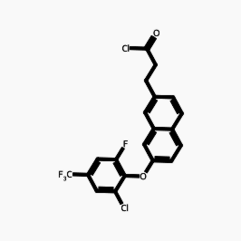 O=C(Cl)CCc1ccc2ccc(Oc3c(F)cc(C(F)(F)F)cc3Cl)cc2c1